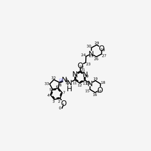 COc1ccc2c(c1)/C(=N\Nc1cc(N3CCOCC3)nc(OCCN3CCOCC3)n1)CC2